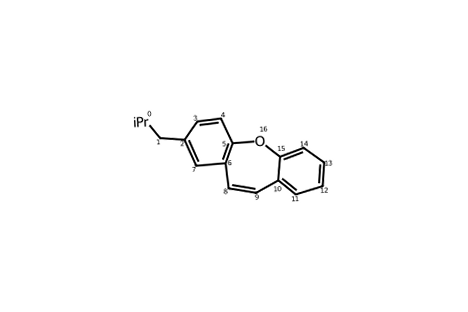 CC(C)Cc1ccc2c(c1)C=Cc1ccccc1O2